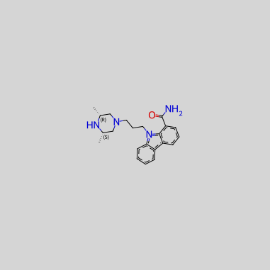 C[C@@H]1CN(CCCn2c3ccccc3c3cccc(C(N)=O)c32)C[C@H](C)N1